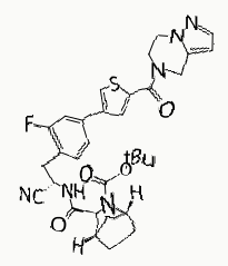 CC(C)(C)OC(=O)N1[C@@H]2CC[C@@H](C2)[C@H]1C(=O)N[C@H](C#N)Cc1ccc(-c2csc(C(=O)N3CCn4nccc4C3)c2)cc1F